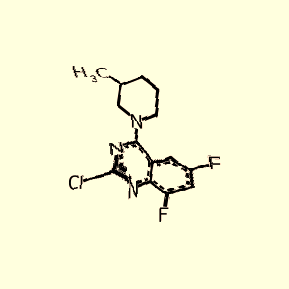 CC1CCCN(c2nc(Cl)nc3c(F)cc(F)cc23)C1